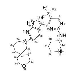 FC(F)(F)c1cnc(N[C@H]2CCCNC2)nc1-c1c[nH]c2nc(N3CCCC4(CCOCC4)C3)ccc12